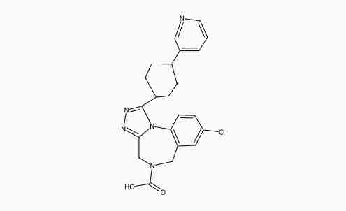 O=C(O)N1Cc2cc(Cl)ccc2-n2c(nnc2C2CCC(c3cccnc3)CC2)C1